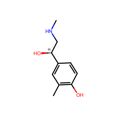 CNC[C@H](O)c1ccc(O)c(C)c1